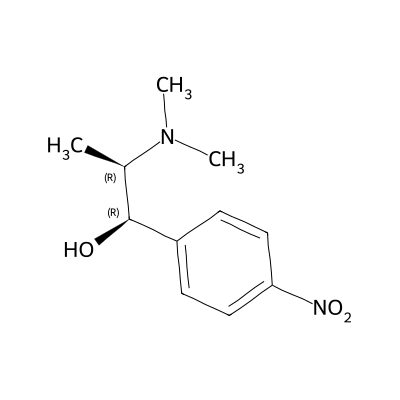 C[C@H]([C@H](O)c1ccc([N+](=O)[O-])cc1)N(C)C